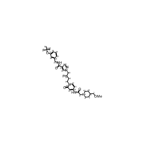 COCC1CCN(CC(=O)Nc2ccn(CCC(F)Cn3cc(C(=O)NCc4cccc(OC(C)(F)F)c4)nn3)c(=O)c2)CC1